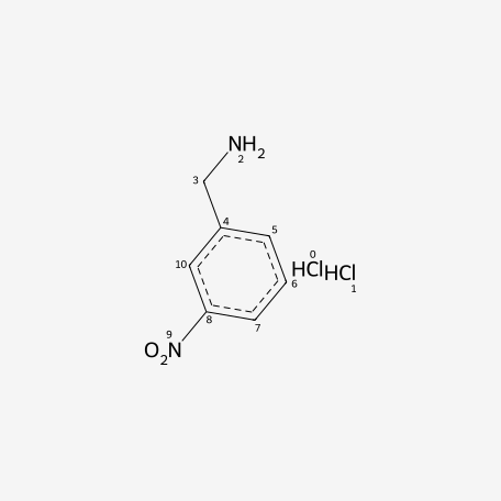 Cl.Cl.NCc1cccc([N+](=O)[O-])c1